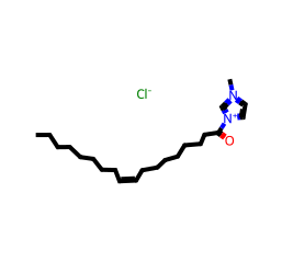 CCCCCCCC/C=C\CCCCCCCC(=O)[n+]1ccn(C)c1.[Cl-]